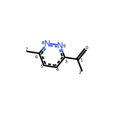 C=C(C)c1ccc(C)nn1